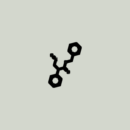 O=NCC(C(=O)OCc1ccccc1)c1ccccc1